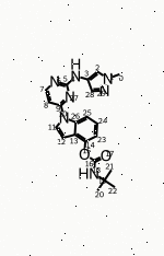 Cn1cc(Nc2nccc(-n3ccc4c(OC(=O)NC(C)(C)C)cccc43)n2)cn1